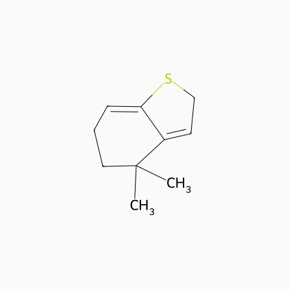 CC1(C)CCC=C2SCC=C21